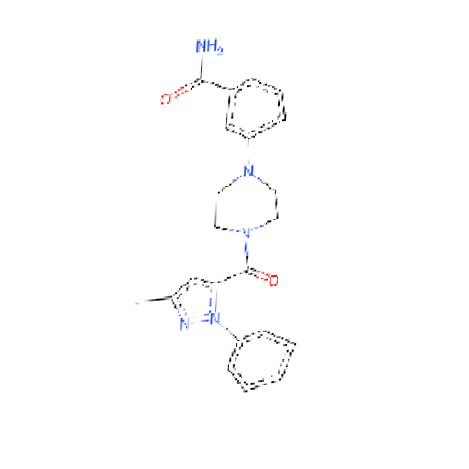 Cc1cc(C(=O)N2CCN(c3cccc(C(N)=O)c3)CC2)n(-c2ccccc2)n1